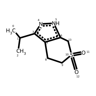 CC(C)c1n[nH]c2c1CCS(=O)(=O)C2